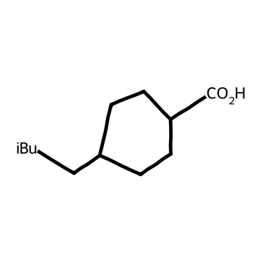 CCC(C)CC1CCC(C(=O)O)CC1